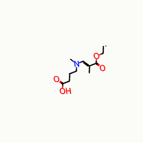 [CH2]COC(=O)C(C)=CN(C)CCCC(=O)O